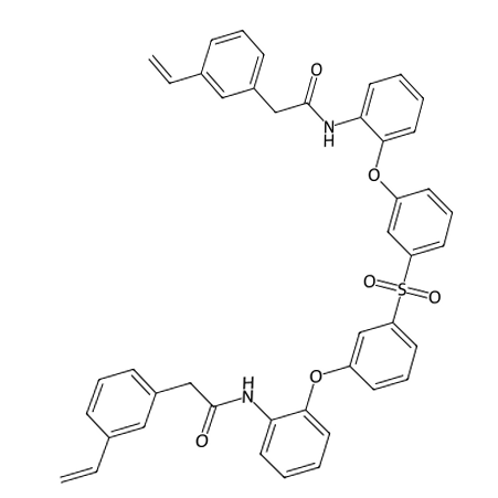 C=Cc1cccc(CC(=O)Nc2ccccc2Oc2cccc(S(=O)(=O)c3cccc(Oc4ccccc4NC(=O)Cc4cccc(C=C)c4)c3)c2)c1